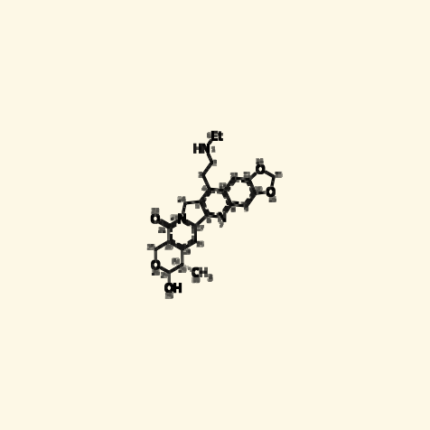 CCNCCc1c2c(nc3cc4c(cc13)OCO4)-c1cc3c(c(=O)n1C2)COC(O)[C@H]3C